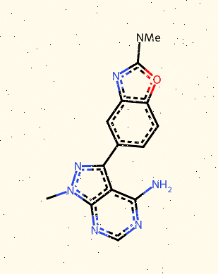 CNc1nc2cc(-c3nn(C)c4ncnc(N)c34)ccc2o1